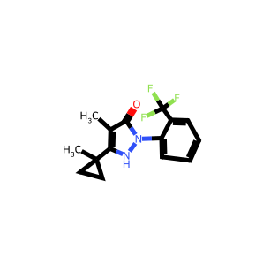 Cc1c(C2(C)CC2)[nH]n(-c2ccccc2C(F)(F)F)c1=O